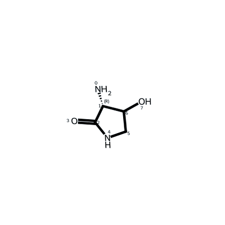 N[C@H]1C(=O)NCC1O